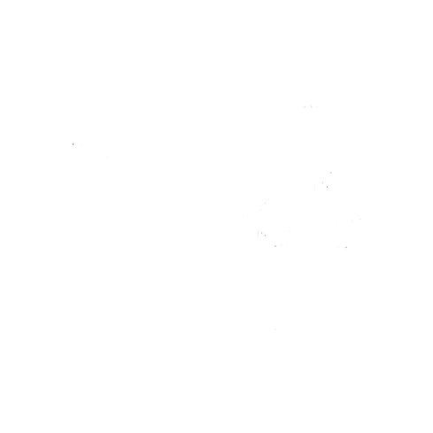 CCCCCCCCCCCCCC[C@@H](O)[C@@H](O)[C@H](COC1OC(CNC(=O)CCCCC(=O)O)C(O)C(O)C1O)NC(=O)CCCCCCC